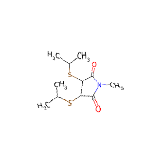 CC(C)SC1C(=O)N(C)C(=O)C1SC(C)C